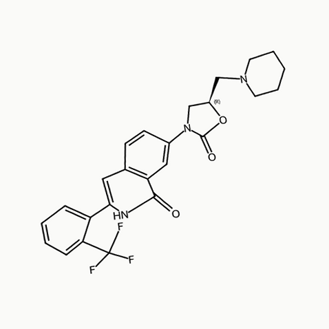 O=C1O[C@H](CN2CCCCC2)CN1c1ccc2cc(-c3ccccc3C(F)(F)F)[nH]c(=O)c2c1